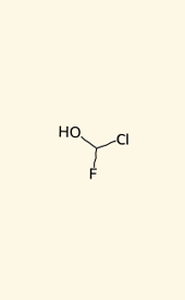 OC(F)Cl